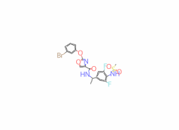 CC(NC(=O)c1coc(Oc2cccc(Br)c2)n1)c1cc(F)c(NS(C)(=O)=O)c(F)c1